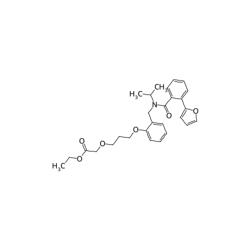 CCOC(=O)COCCCOc1ccccc1CN(C(=O)c1ccccc1-c1ccco1)C(C)C